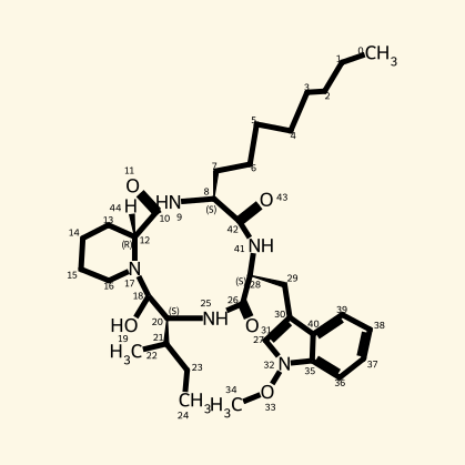 CCCCCCCC[C@@H]1NC(=O)[C@H]2CCCCN2C(O)[C@H](C(C)CC)NC(=O)[C@H](Cc2cn(OC)c3ccccc23)NC1=O